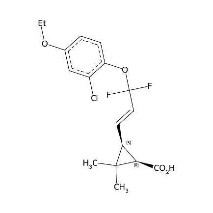 CCOc1ccc(OC(F)(F)C=C[C@H]2[C@@H](C(=O)O)C2(C)C)c(Cl)c1